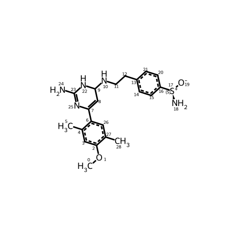 COc1cc(C)c(C2=CC(NCCc3ccc([S@+](N)[O-])cc3)NC(N)=N2)cc1C